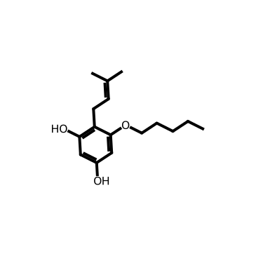 CCCCCOc1cc(O)cc(O)c1CC=C(C)C